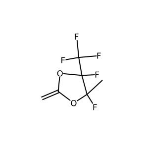 C=C1OC(C)(F)C(F)(C(F)(F)F)O1